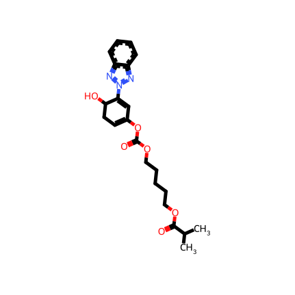 CC(C)C(=O)OCCCCCOC(=O)OC1=CCC(O)C(n2nc3ccccc3n2)=C1